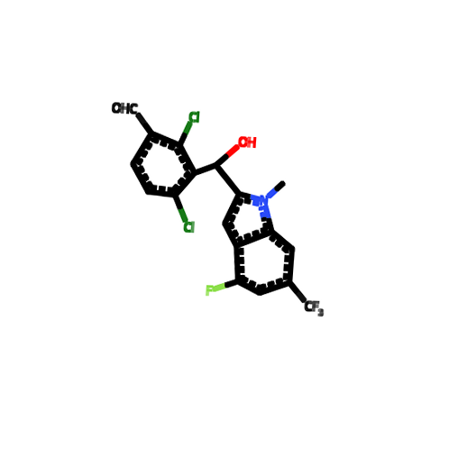 Cn1c(C(O)c2c(Cl)ccc(C=O)c2Cl)cc2c(F)cc(C(F)(F)F)cc21